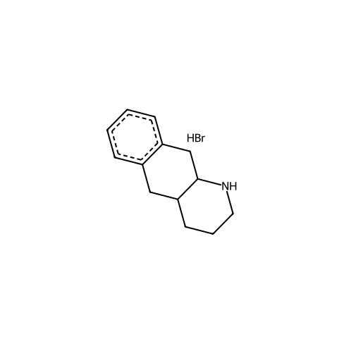 Br.c1ccc2c(c1)CC1CCCNC1C2